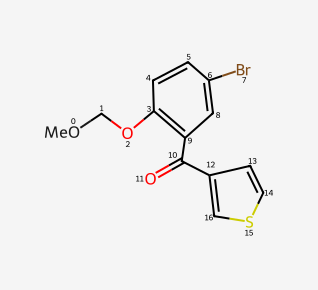 COCOc1ccc(Br)cc1C(=O)c1ccsc1